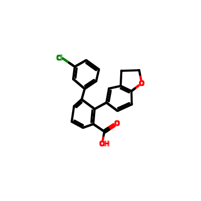 O=C(O)c1cccc(-c2cccc(Cl)c2)c1-c1ccc2c(c1)CCO2